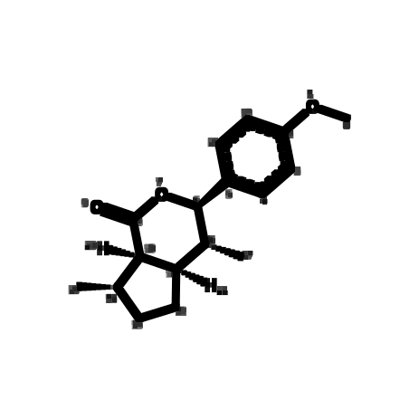 COc1ccc([C@@H]2OC(=O)[C@H]3[C@H](CC[C@@H]3C)[C@H]2C)cc1